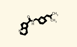 CC(C)=Cc1cccc(CNC(=O)c2ccc3ncccc3c2)c1